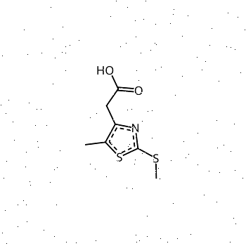 [CH2]Sc1nc(CC(=O)O)c(C)s1